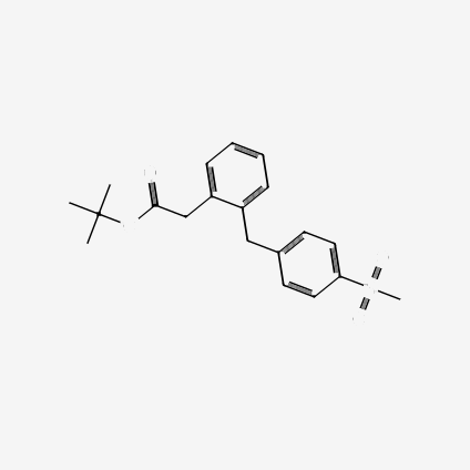 CC(C)(C)OC(=O)[CH]c1ccccc1Cc1ccc(S(C)(=O)=O)cc1